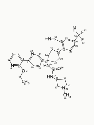 CCOc1ncccc1-c1ccc(C2(NC(=O)NC3CCN(C)C3)CCN(c3ccc(C(F)(F)F)cc3C#N)CC2)cn1